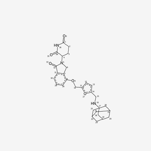 O=C1CCC(N2Cc3c(OCc4ccc(CNC56CC7CC(CC(C7)C5)C6)o4)cccc3C2=O)C(=O)N1